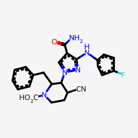 N#CC1CCN(C(=O)O)C(Cc2ccccc2)C1n1cc(C(N)=O)c(Nc2ccc(F)cc2)n1